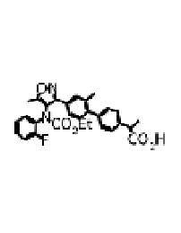 CCOC(=O)N(c1ccccc1F)c1c(-c2ccc(-c3ccc(C(C)C(=O)O)cc3)c(C)c2)noc1C